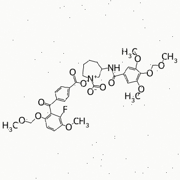 COCOc1ccc(OC)c(F)c1C(=O)c1ccc(C(=O)O[N+]2(C(=O)[O-])CCCCC(NC(=O)c3cc(OC)c(OCOC)c(OC)c3)C2)cc1